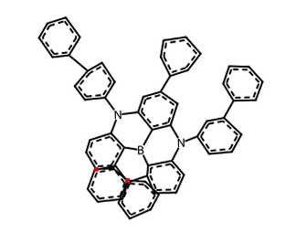 c1ccc(-c2ccc(N3c4cccc(-c5ccccc5)c4B4c5c(-c6ccccc6)cccc5N(c5cccc(-c6ccccc6)c5)c5cc(-c6ccccc6)cc3c54)cc2)cc1